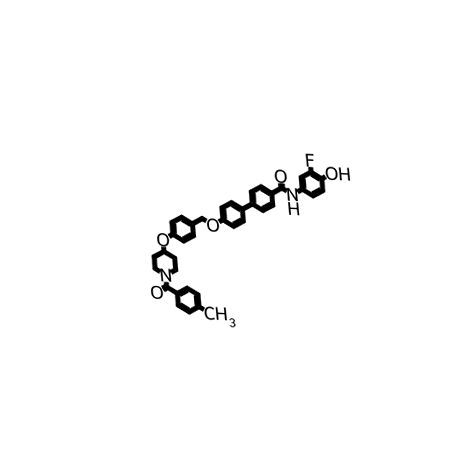 Cc1ccc(C(=O)N2CCC(Oc3ccc(COc4ccc(-c5ccc(C(=O)Nc6ccc(O)c(F)c6)cc5)cc4)cc3)CC2)cc1